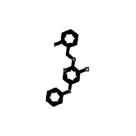 Clc1cc(Sc2ccccc2)cnc1OCc1ccccc1I